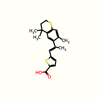 C/C(=C\c1ccc(C(=O)O)s1)c1cc2c(cc1C)SCCC2(C)C